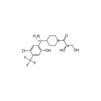 N[C@@H](c1cc(Cl)c(C(F)(F)F)cc1O)C1CCN(C(=O)[C@H](O)CO)CC1